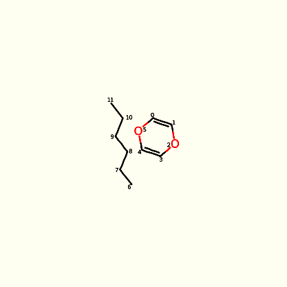 C1=COC=CO1.CCCCCC